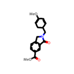 COC(=O)c1ccc2c(c1)C(=O)N(CC1C=CC(OC)=CC1)C2